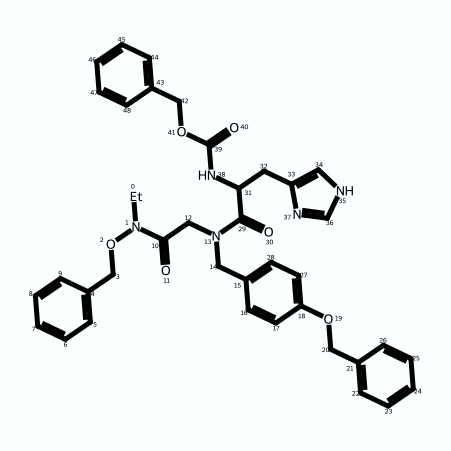 CCN(OCc1ccccc1)C(=O)CN(Cc1ccc(OCc2ccccc2)cc1)C(=O)C(Cc1c[nH]cn1)NC(=O)OCc1ccccc1